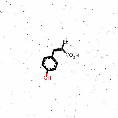 CCC(=Cc1ccc(O)cc1)C(=O)O